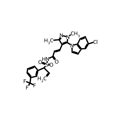 C=CC(c1cccc(C(F)(F)F)c1)S(=O)(=O)NC(=O)/C=C/c1c(C)nn(C)c1-n1ccc2cc(Cl)ccc21